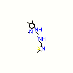 C=Nc1cc(C)c(C)cc1NCCCNCCC1=NCC(C)S1